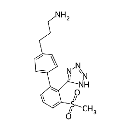 CS(=O)(=O)c1cccc(-c2ccc(CCCN)cc2)c1-c1nnn[nH]1